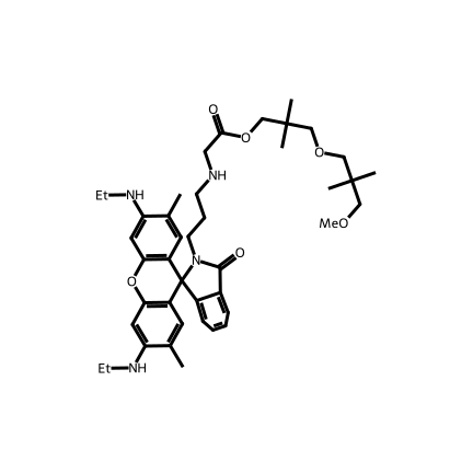 CCNc1cc2c(cc1C)C1(c3cc(C)c(NCC)cc3O2)c2ccccc2C(=O)N1CCCNCC(=O)OCC(C)(C)COCC(C)(C)COC